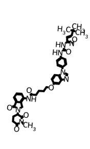 CN1C(=O)CCC(N2Cc3c(NC(=O)CCCCOc4ccc5c(c4)ncn5-c4ccc(NC(=O)Nc5cc(C(C)(C)C)on5)cc4)cccc3C2=O)C1=O